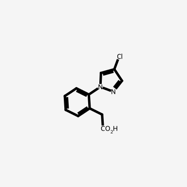 O=C(O)Cc1ccccc1-n1cc(Cl)cn1